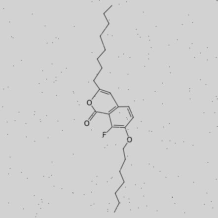 CCCCCCCCc1cc2ccc(OCCCCCCC)c(F)c2c(=O)o1